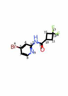 O=C(Nc1cc(Br)ccn1)C1CC(F)(F)C1